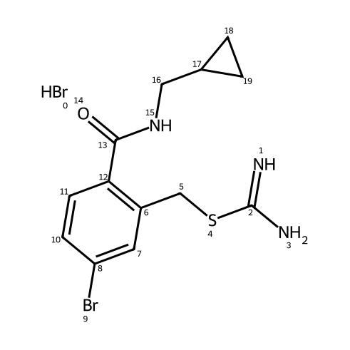 Br.N=C(N)SCc1cc(Br)ccc1C(=O)NCC1CC1